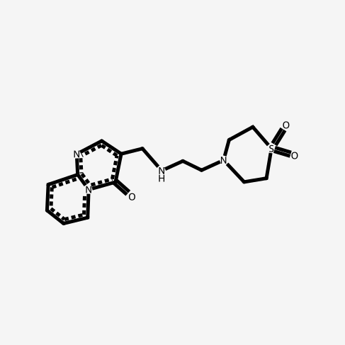 O=c1c(CNCCN2CCS(=O)(=O)CC2)cnc2ccccn12